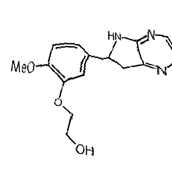 COc1ccc(C2Cc3nccnc3N2)cc1OCCO